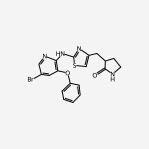 O=C1NCCC1Cc1csc(Nc2ncc(Br)cc2Oc2ccccc2)n1